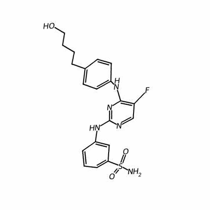 NS(=O)(=O)c1cccc(Nc2ncc(F)c(Nc3ccc(CCCCO)cc3)n2)c1